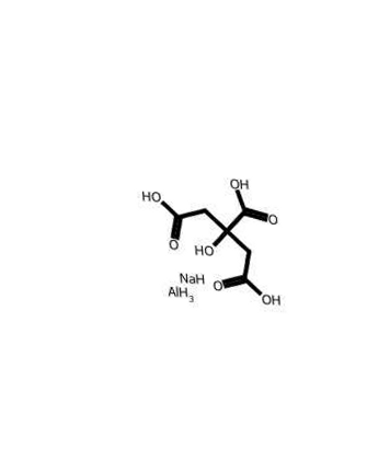 O=C(O)CC(O)(CC(=O)O)C(=O)O.[AlH3].[NaH]